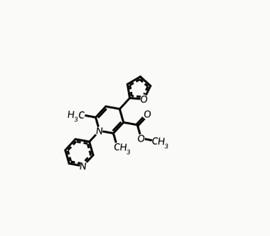 COC(=O)C1=C(C)N(c2cccnc2)C(C)=CC1c1ccco1